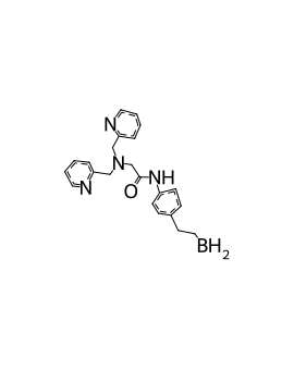 BCCc1ccc(NC(=O)CN(Cc2ccccn2)Cc2ccccn2)cc1